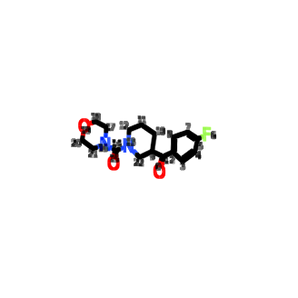 O=C(c1ccc(F)cc1)C1CCCN(C(=O)N2CCOCC2)C1